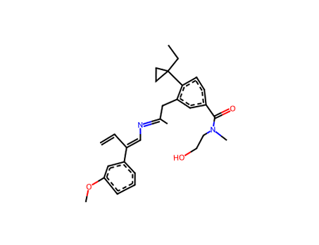 C=C/C(=C\N=C(/C)Cc1cc(C(=O)N(C)CCO)ccc1C1(CC)CC1)c1cccc(OC)c1